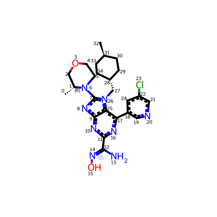 C[C@@H]1COCCN1c1nc2nc(/C(N)=N/O)nc(-c3cncc(Cl)c3)c2n1C[C@H]1CC[C@H](C)CC1